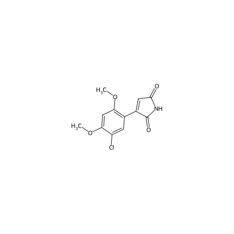 COc1cc(OC)c(C2=CC(=O)NC2=O)cc1Cl